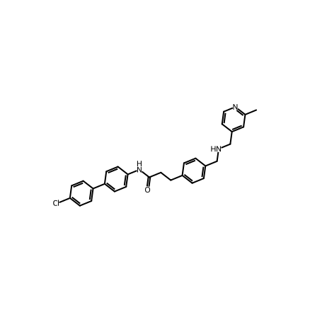 Cc1cc(CNCc2ccc(CCC(=O)Nc3ccc(-c4ccc(Cl)cc4)cc3)cc2)ccn1